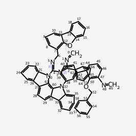 C=N/C(=N\C(=N/Cc1cccc2c1oc1ccccc12)n1c2ccccc2c2ccc3c4ccccc4n(-c4cccc(-c5cccc(N=C)c5OCc5ccccc5)c4)c3c21)c1ccccc1